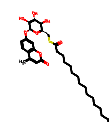 CCCCCCCCCCCCCCCC(=O)SC[C@@H]1O[C@H](Oc2ccc3c(C)cc(=O)oc3c2)[C@@H](O)[C@H](O)[C@H]1O